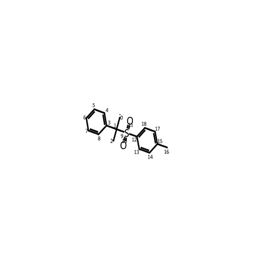 [CH2]C(C)(c1ccccc1)S(=O)(=O)c1ccc(C)cc1